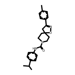 Cc1ccc(C2=NOC3(CCN(C(=O)Nc4ccc(C(C)C)cc4)CC3)C2)cc1